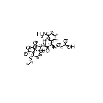 CCSC1=C(C(=O)O)N2C(=O)C(NC(=O)/C(=N/OCC(=O)O)c3cccc(N)n3)[C@H]2SC1